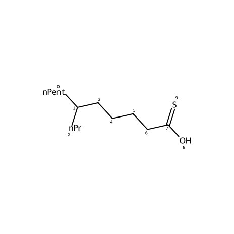 CCCCCC(CCC)CCCCC(O)=S